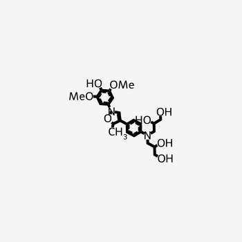 COc1cc(N2C=C(c3ccc(N(CC(O)CO)CC(O)CO)cc3)C(C)O2)cc(OC)c1O